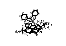 CC(C)(C)c1ccc2c(c1)[CH]([Hf]([Cl])([Cl])(=[C](c1ccccc1)c1ccccc1)[CH]1C=CC=C1c1c(F)c(F)c(F)c(F)c1F)c1cc(C(C)(C)C)ccc1-2